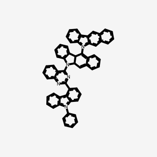 C1=c2ccccc2=C(n2c3ccccc3c3cc4ccccc4cc32)C2c3ccccc3N(c3nc(-c4cccc5c4c4ccccc4n5-c4ccccc4)nc4ccccc34)C12